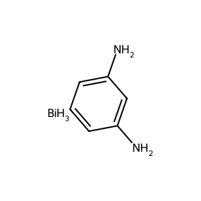 Nc1cccc(N)c1.[BiH3]